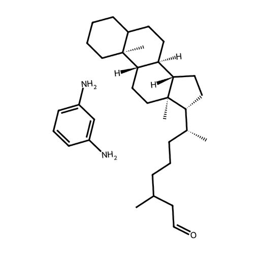 CC(CC=O)CCC[C@@H](C)[C@H]1CC[C@H]2[C@@H]3CCC4CCCC[C@]4(C)[C@H]3CC[C@]12C.Nc1cccc(N)c1